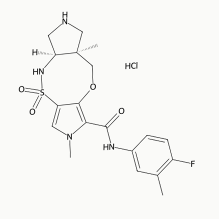 Cc1cc(NC(=O)c2c3c(cn2C)S(=O)(=O)N[C@H]2CNC[C@@]2(C)CO3)ccc1F.Cl